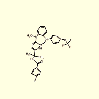 CN1C(=O)[C@@H](NC(=O)C(C)(C)NC(=O)c2ccc(F)cc2)CN(c2ccc(OC(F)(F)F)cc2)c2ccccc21